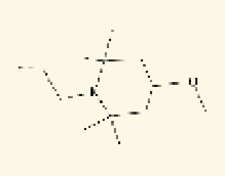 C=CCN1C(C)(C)CC(OC)CC1(C)C